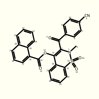 CN1C(C(=O)c2ccc(C#N)cc2)=C(OC(=O)c2cccc3ccccc23)c2ccccc2S1(=O)=O